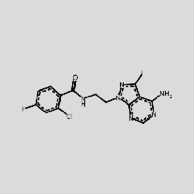 Nc1ncnc2c1c(I)nn2CCNC(=O)c1ccc(F)cc1Cl